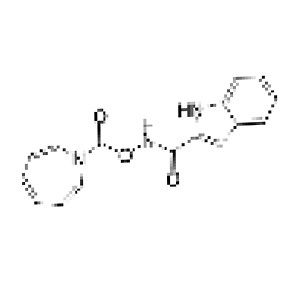 O=C(NOC(=O)N1C=CC=CC=C1)c1cc2ccccc2[nH]1